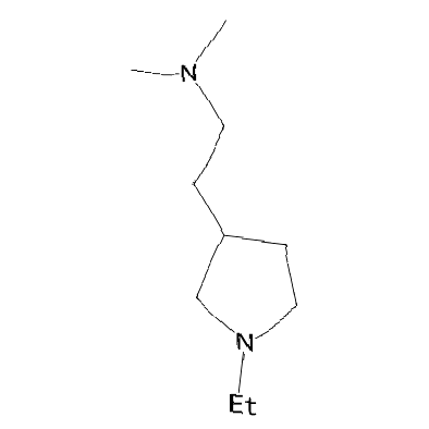 CCN1CCC(CCN(C)C)C1